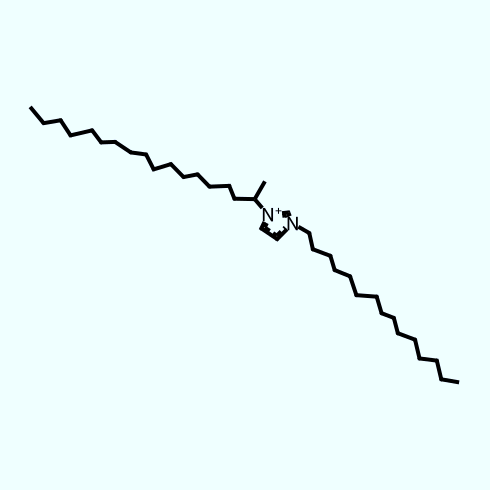 CCCCCCCCCCCCCCCCC(C)[n+]1ccn(CCCCCCCCCCCCCCC)c1